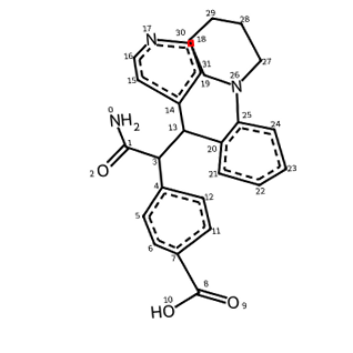 NC(=O)C(c1ccc(C(=O)O)cc1)C(c1ccncc1)c1ccccc1N1CCCCC1